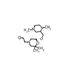 CC1(C)CN(CC[O])CCO1.CN1CCN(C)C(C[O])C1